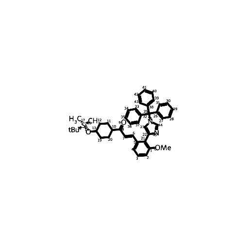 COc1cccc(/C=C/C(=O)C2CCC(O[Si](C)(C)C(C)(C)C)CC2)c1-c1cn(C(c2ccccc2)(c2ccccc2)c2ccccc2)cn1